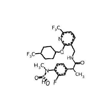 CC(C(=O)NCc1ccc(C(F)(F)F)nc1OC1CCC(C(F)(F)F)CC1)c1ccc(N(C)[SH](=O)=O)c(F)c1